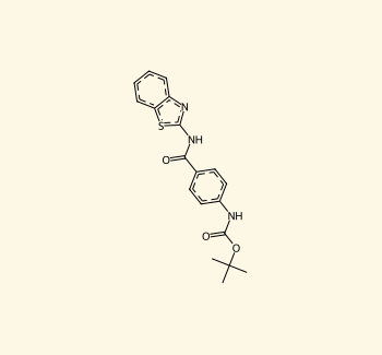 CC(C)(C)OC(=O)Nc1ccc(C(=O)Nc2nc3ccccc3s2)cc1